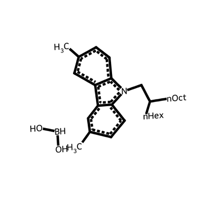 CCCCCCCCC(CCCCCC)Cn1c2ccc(C)cc2c2cc(C)ccc21.OBO